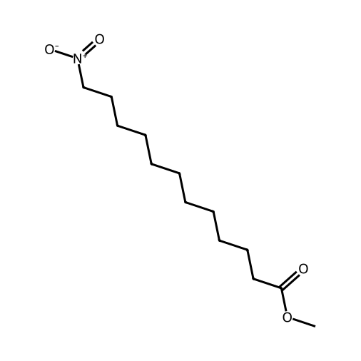 COC(=O)CCCCCCCCCCC[N+](=O)[O-]